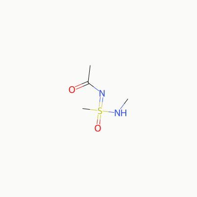 CNS(C)(=O)=NC(C)=O